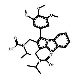 COc1cc(-c2c(CN(C(=O)O)C(C)C)c(CN(C(=O)O)C(C)C)c3sc4ccccc4n23)cc(OC)c1OC